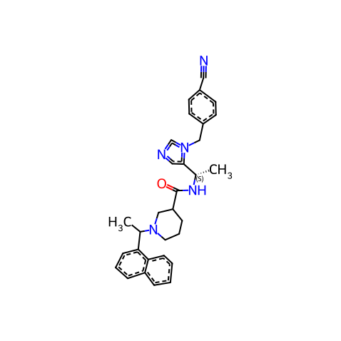 CC(c1cccc2ccccc12)N1CCCC(C(=O)N[C@@H](C)c2cncn2Cc2ccc(C#N)cc2)C1